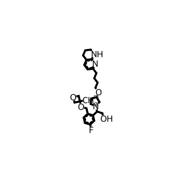 CC1(OCc2ccc(F)cc2C(CO)N2CC[C@@H](OCCCCc3ccc4c(n3)NCCC4)C2)COC1